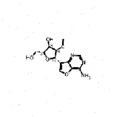 CO[C@@H]1[C@H](O)[C@@H](CO)O[C@H]1c1coc2c(N)ncnc12